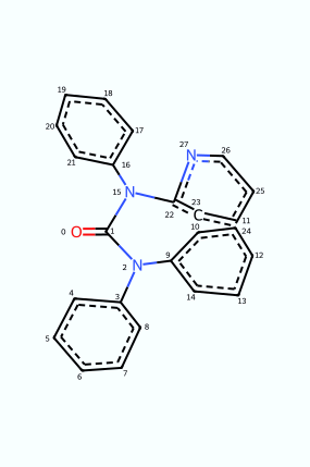 O=C(N(c1ccccc1)c1ccccc1)N(c1ccccc1)c1ccccn1